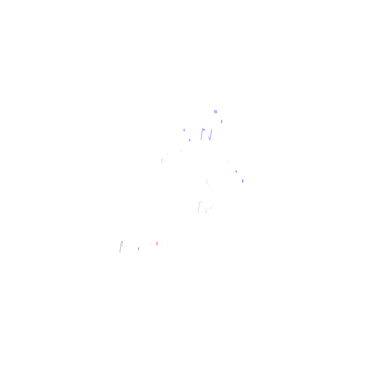 FC(F)(F)Oc1ccc(C2(c3c(Br)cncc3-n3nccn3)CO2)cc1